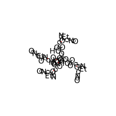 CCC(Cc1ccc(C(=O)C(=O)C(O)COCC(COCC(O)C(=O)C(=O)c2ccc(CC(CC)(C(=O)c3ccc(N4CCOCC4)cc3)N(C)C)cc2)(COCC(O)C(=O)C(=O)c2ccc(CC(CC)(C(=O)c3ccc(N4CCOCC4)cc3)N(C)C)cc2)COCC(O)C(=O)C(=O)c2ccc(CC(CC)(C(=O)c3ccc(N4CCOCC4)cc3)N(C)C)cc2)cc1)(C(=O)c1ccc(N2CCOCC2)cc1)N(C)C